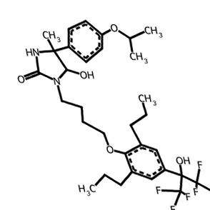 CCCc1cc(C(O)(C(F)(F)F)C(F)(F)F)cc(CCC)c1OCCCCN1C(=O)NC(C)(c2ccc(OC(C)C)cc2)C1O